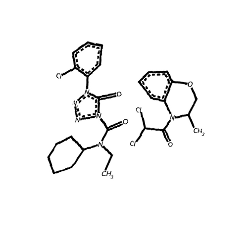 CC1COc2ccccc2N1C(=O)C(Cl)Cl.CCN(C(=O)n1nnn(-c2ccccc2Cl)c1=O)C1CCCCC1